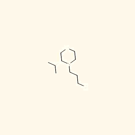 CC(C)[C@@H]1COCCN1CCCCl